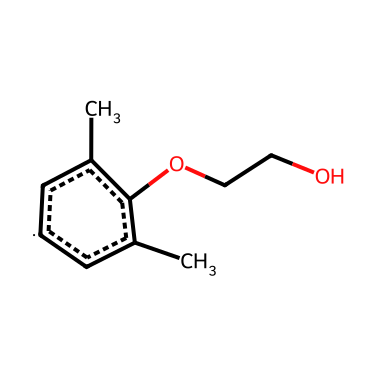 Cc1c[c]cc(C)c1OCCO